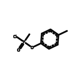 Cc1ccc(OP(C)(=O)Cl)cc1